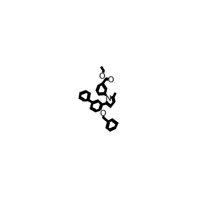 CCOC(=O)c1cccc(-n2c(C)ccc2-c2cc(-c3ccccc3)ccc2OCc2ccccc2)c1